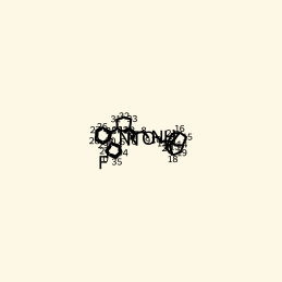 Fc1ccc(-n2nc(CONCC34CC5CC(CC(C5)C3)C4)c3c2C(c2ccccc2)CCC3)cc1